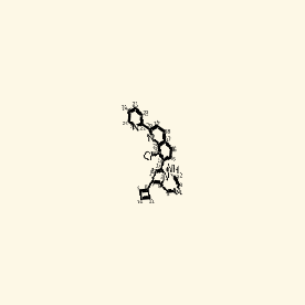 N[N+]12C=CN=CC1=C(C1=CC=C1)N=C2c1ccc2ccc(-c3ccccn3)nc2c1Cl